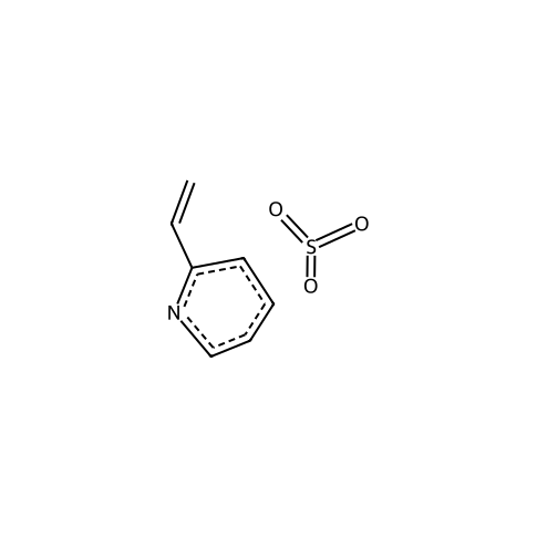 C=Cc1ccccn1.O=S(=O)=O